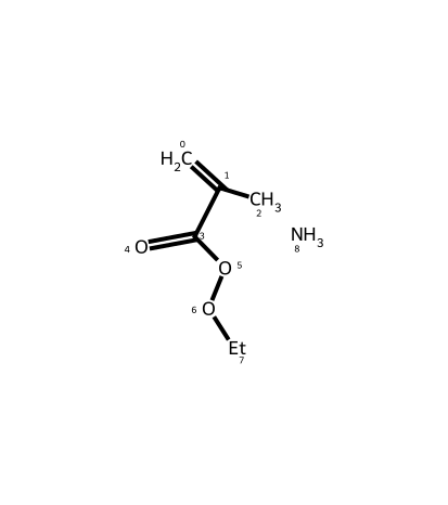 C=C(C)C(=O)OOCC.N